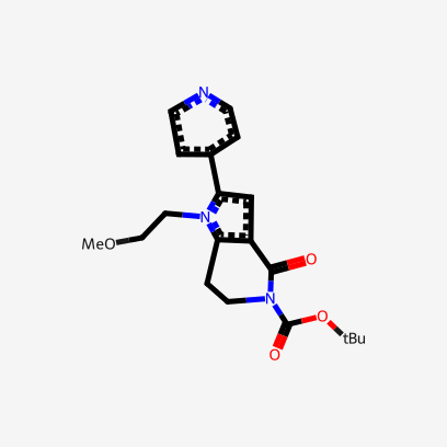 COCCn1c(-c2ccncc2)cc2c1CCN(C(=O)OC(C)(C)C)C2=O